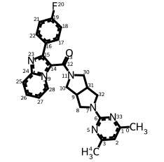 Cc1cc(C)nc(N2CC3CN(C(=O)c4c(-c5ccc(F)cc5)nc5ccccn45)CC3C2)n1